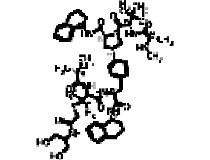 CN[C@@H](C)C(=O)NC(C(=O)N[C@@H](Cc1ccc([C@H]2C[C@@H](C(=O)N[C@@H]3CCCc4ccccc43)N(C(=O)[C@@H](NC(=O)[C@H](C)NC)C(C)(C)C)C2)cc1)C(=O)N[C@@H]1CCCc2ccccc21)C(C)(C)SCC(=O)NC(CO)CO